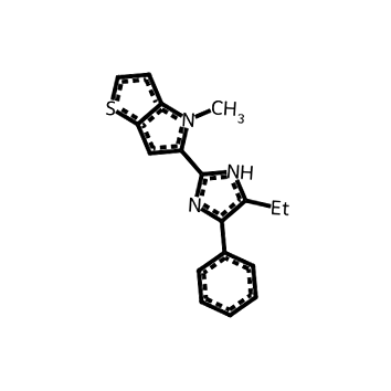 CCc1[nH]c(-c2cc3sccc3n2C)nc1-c1ccccc1